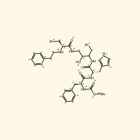 CC(C)CC(NC(=O)[C@H](Cc1c[nH]cn1)NC(=O)[C@H](Cc1ccccc1)NC(=O)OC(C)(C)C)C(O)CNC(=O)[C@H](CC(C)C)NCCc1ccccn1